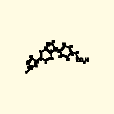 Cn1cc(-c2ccc3c(c2)ncn3-c2ccc(CC(=O)O)cc2)cn1